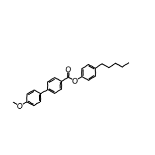 CCCCCc1ccc(OC(=O)c2ccc(-c3ccc(OC)cc3)cc2)cc1